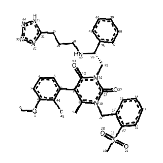 COc1cccc(-c2c(C)n(Cc3ccccc3S(C)(=O)=O)c(=O)n(C[C@H](NCCCc3nnn[nH]3)c3ccccc3)c2=O)c1F